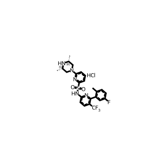 Cc1ccc(F)cc1-c1nc(NS(=O)(=O)c2cccc(N3C[C@@H](C)N[C@@H](C)C3)n2)ccc1C(F)(F)F.Cl